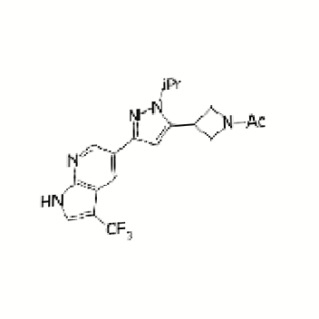 CC(=O)N1CC(c2cc(-c3cnc4[nH]cc(C(F)(F)F)c4c3)nn2C(C)C)C1